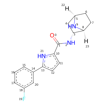 O=C(N[C@@H]1C[C@H]2CC[C@@H]1N2)c1ccc(-c2cccc(F)c2)[nH]1